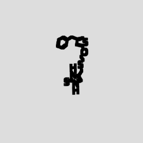 S=c1[nH]cc(CSCCOc2cc(Cc3ccccc3)cs2)[nH]1